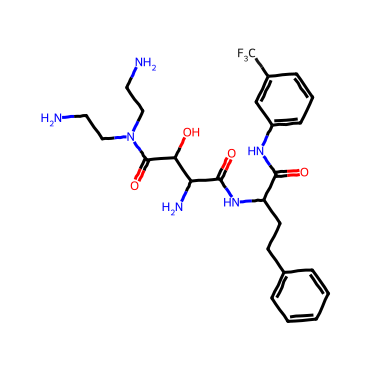 NCCN(CCN)C(=O)C(O)C(N)C(=O)NC(CCc1ccccc1)C(=O)Nc1cccc(C(F)(F)F)c1